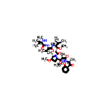 CC[C@H](C)[C@@H]([C@@H](CC(=O)N1C[C@H](OC)CC1[C@H](OC)[C@@H](C)C(=O)N[C@H](C)C(=O)c1ccccc1OC)OC)N(C)C(=O)[C@@H](NC(=O)[C@@H](NC)C(C)C)C(C)C